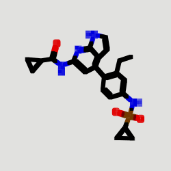 CCc1cc(NS(=O)(=O)C2CC2)ccc1-c1cc(NC(=O)C2CC2)nc2[nH]ccc12